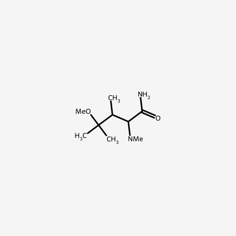 CNC(C(N)=O)C(C)C(C)(C)OC